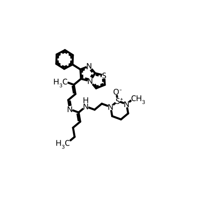 CCC\C=C(/N=C\C=C(/C)c1c(-c2ccccc2)nc2sccn12)NCCN1CCCN(C)[S+]1[O-]